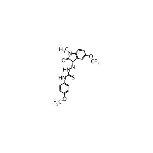 CN1C(=O)/C(=N\NC(=S)Nc2ccc(OC(F)(F)F)cc2)c2cc(OC(F)(F)F)ccc21